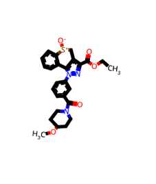 CCOC(=O)c1nn(-c2cccc(C(=O)N3CCC(OC)CC3)c2)c2c1C[S+]([O-])c1ccccc1-2